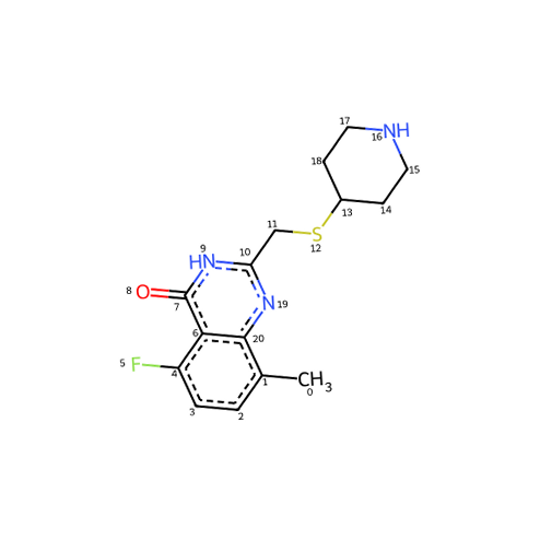 Cc1ccc(F)c2c(=O)[nH]c(CSC3CCNCC3)nc12